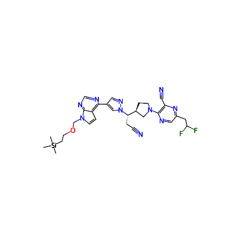 C[Si](C)(C)CCOCn1ccc2c(-c3cnn([C@@H](CC#N)[C@H]4CCN(c5ncc(CC(F)F)nc5C#N)C4)c3)ncnc21